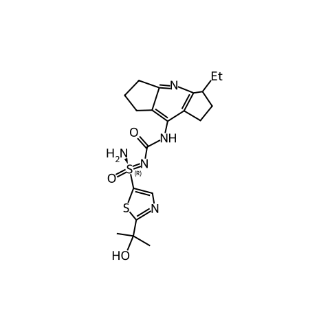 CCC1CCc2c1nc1c(c2NC(=O)N=[S@@](N)(=O)c2cnc(C(C)(C)O)s2)CCC1